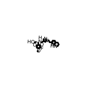 COc1ccc([C@H](CC(=O)O)NC(=O)c2cnn(CCc3ccc4c(n3)NCCC4)c2)cc1F